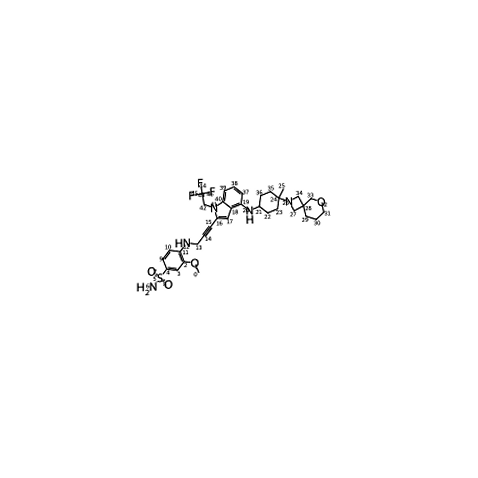 COc1cc(S(N)(=O)=O)ccc1NCC#Cc1cc2c(NC3CCC(C)(N4CC5(CCCOC5)C4)CC3)cccc2n1CC(F)(F)F